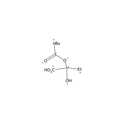 CCCCC(=O)OC(O)(CC)C(=O)O